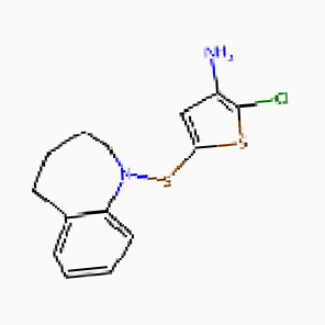 Nc1cc(SN2CCCCc3ccccc32)sc1Cl